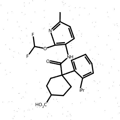 Cc1ccc(NC(=O)C2(c3ccccc3C(C)C)CCC(C(=O)O)CC2)c(OC(F)F)n1